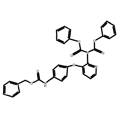 O=C(Nc1ccc(Oc2cccnc2N(C(=O)Oc2ccccc2)C(=O)Oc2ccccc2)cc1)OCc1ccccc1